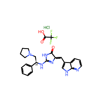 Cl.O=C(O)C(F)(F)F.O=C1NC(N[C@H](CN2CCCC2)c2ccccc2)=NC1=Cc1c[nH]c2ncccc12